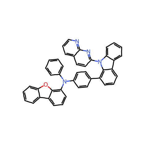 c1ccc(N(c2ccc(-c3cccc4c5ccccc5n(-c5ccc6cccnc6n5)c34)cc2)c2cccc3c2oc2ccccc23)cc1